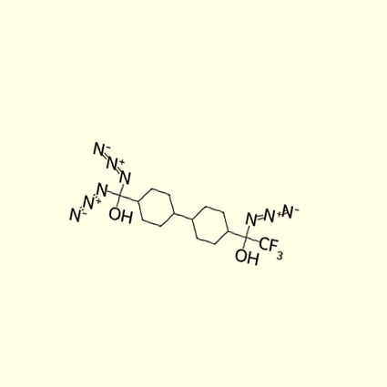 [N-]=[N+]=NC(O)(N=[N+]=[N-])C1CCC(C2CCC(C(O)(N=[N+]=[N-])C(F)(F)F)CC2)CC1